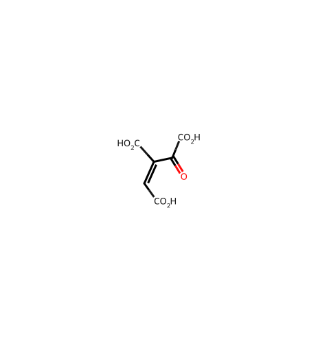 O=C(O)C=C(C(=O)O)C(=O)C(=O)O